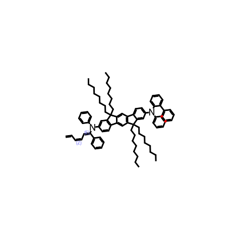 C=C/C=C\C=C(/c1ccccc1)N(c1ccccc1)c1ccc2c(c1)C(CCCCCCCC)(CCCCCCCC)c1cc3c(cc1-2)C(CCCCCCCC)(CCCCCCCC)c1cc(N(c2ccccc2)c2ccccc2-c2ccccc2)ccc1-3